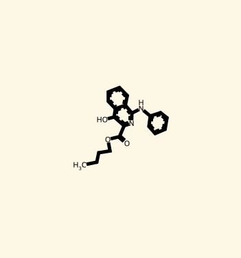 CCCCOC(=O)c1nc(Nc2ccccc2)c2ccccc2c1O